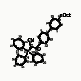 CCCCCCCCc1ccc(-c2ccc(C(=O)C(C#N)=P(c3ccccc3)(c3ccccc3)c3ccccc3)cc2)cc1